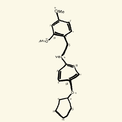 COc1ccc(CNc2ccc(OC3CCCC3)cn2)c(OC)c1